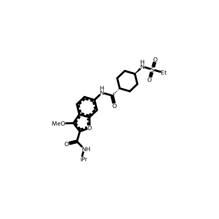 CCS(=O)(=O)N[C@H]1CC[C@H](C(=O)Nc2ccc3c(OC)c(C(=O)NC(C)C)oc3c2)CC1